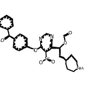 O=COC(CC1CCNCC1)c1ncnc(Oc2ccc(C(=O)c3ccccc3)cc2)c1[N+](=O)[O-]